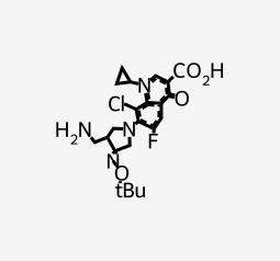 CC(C)(C)O/N=C1\CN(c2c(F)cc3c(=O)c(C(=O)O)cn(C4CC4)c3c2Cl)CC1CN